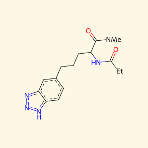 CCC(=O)NC(CCCc1ccc2[nH]nnc2c1)C(=O)NC